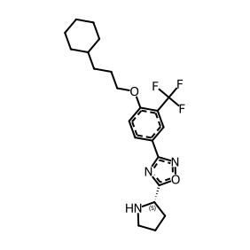 FC(F)(F)c1cc(-c2noc([C@@H]3CCCN3)n2)ccc1OCCCC1CCCCC1